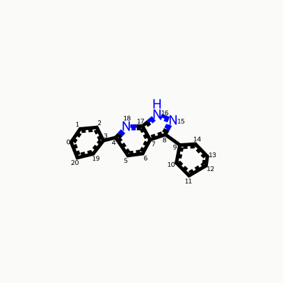 c1ccc(-c2ccc3c(-c4ccccc4)n[nH]c3n2)cc1